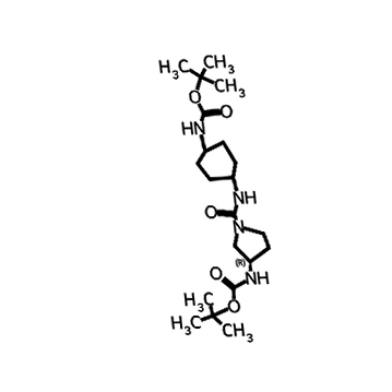 CC(C)(C)OC(=O)NC1CCC(NC(=O)N2CC[C@@H](NC(=O)OC(C)(C)C)C2)CC1